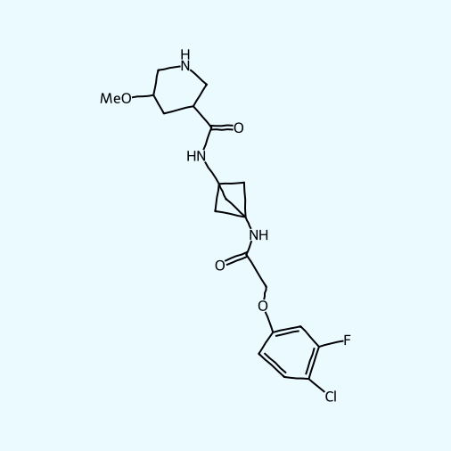 COC1CNCC(C(=O)NC23CC(NC(=O)COc4ccc(Cl)c(F)c4)(C2)C3)C1